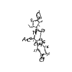 CC(=O)c1nn(-c2ccc(Cl)cc2)c(=O)c(Sc2ccc(Cl)cc2)c1C